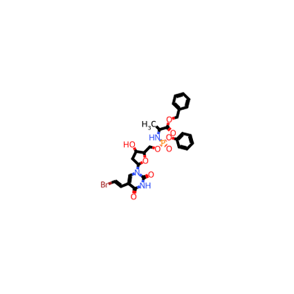 CC(NP(=O)(OCC1OC(n2cc(/C=C/Br)c(=O)[nH]c2=O)CC1O)Oc1ccccc1)C(=O)OCc1ccccc1